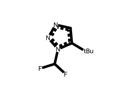 CC(C)(C)c1cnnn1C(F)F